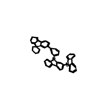 c1cc(-c2ccc3c(c2)C2(CCCCC2)c2ccccc2-3)cc(-n2c3ccccc3c3ccc(-n4c5ccccc5c5ccccc54)cc32)c1